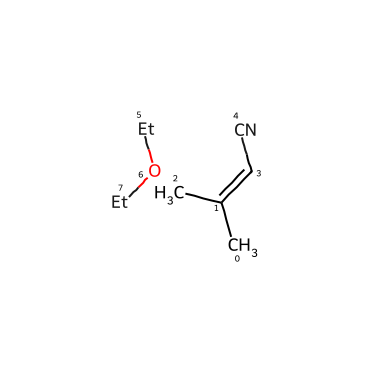 CC(C)=CC#N.CCOCC